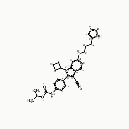 CC(C)OC(=O)Nc1ccc(-c2c(C#N)c3ccc(OCCCc4cnc[nH]4)cc3n2C2CCC2)cc1